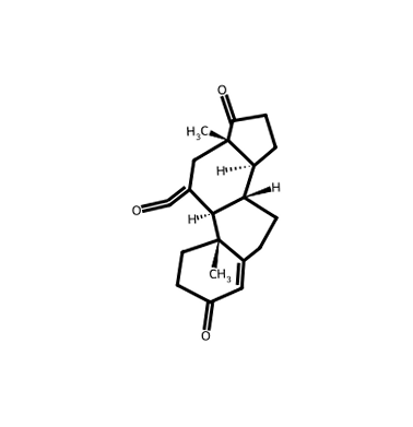 C[C@]12CCC(=O)C=C1CC[C@@H]1[C@@H]2C(=C=O)C[C@]2(C)C(=O)CC[C@@H]12